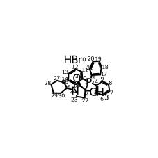 Br.CC1([P](c2ccccc2)(c2ccccc2)c2ccccc2)CCN(C2CCCCC2)C1=O